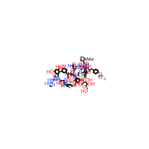 CN[C@H](CC(C)C)C(=O)N[C@H]1C(=O)N[C@@H](CC(N)=O)C(=O)N[C@H]2C(=O)N[C@H]3C(=O)N[C@H](C(=O)N[C@@H](C(=O)NNC4=NCCN4)c4cc(O)cc(O)c4-c4cc3ccc4O)[C@H](O)c3ccc(c(Cl)c3)Oc3cc2cc(c3O[C@@H]2O[C@H](CO)[C@@H](O)[C@H](O)[C@H]2O[C@H]2C[C@](C)(NCCn3ccc(NC(=O)Cc4ccc(OC(F)(F)F)cc4)nc3=O)[C@H](O)[C@H](C)O2)Oc2ccc(cc2Cl)[C@H]1O